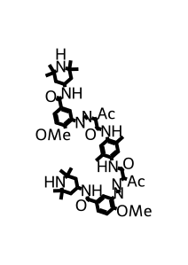 COc1ccc(C(=O)NC2CC(C)(C)NC(C)(C)C2)cc1/N=N/C(C(C)=O)C(=O)Nc1cc(C)c(NC(=O)C(/N=N/c2cc(C(=O)NC3CC(C)(C)NC(C)(C)C3)ccc2OC)C(C)=O)cc1C